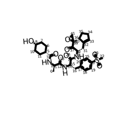 C[C@@H](NC(=O)[C@H]1CC[C@H](O)CC1)C(=O)N[C@@H](Cc1ccc(S(C)(=O)=O)cc1)C(=O)N[C@@H](CC1=CCCC1)C(=O)[C@@]1(C)CO1